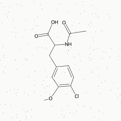 COc1cc(CC(NC(C)=O)C(=O)O)ccc1Cl